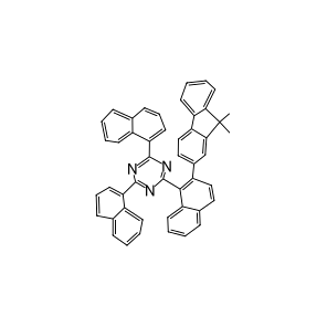 CC1(C)c2ccccc2-c2ccc(-c3ccc4ccccc4c3-c3nc(-c4cccc5ccccc45)nc(-c4cccc5ccccc45)n3)cc21